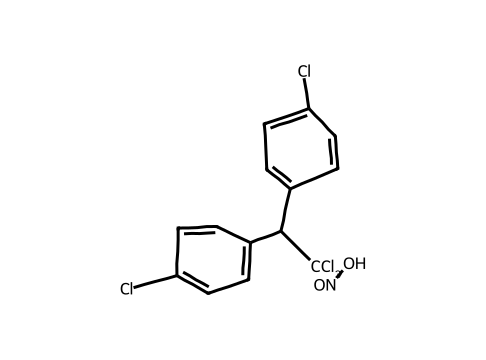 Clc1ccc(C(c2ccc(Cl)cc2)C(Cl)(Cl)Cl)cc1.O=NO